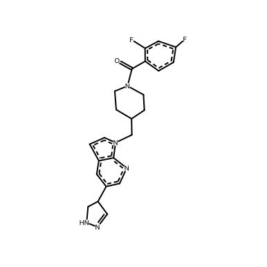 O=C(c1ccc(F)cc1F)N1CCC(Cn2ccc3cc(C4C=NNC4)cnc32)CC1